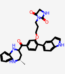 C[C@H]1CC(C(=O)c2ccc(-c3ccc4[nH]ccc4c3)c(OCCCN3C(=O)CNC3=O)c2)Nc2ccccc2N1